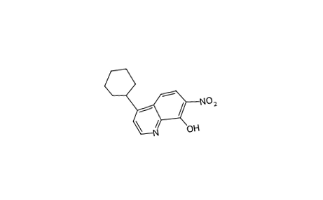 O=[N+]([O-])c1ccc2c(C3CCCCC3)ccnc2c1O